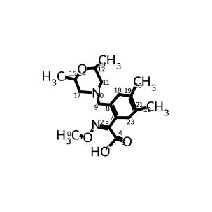 CON=C(C(=O)O)C1=C(CN2CC(C)OC(C)C2)CC(C)=C(C)C1